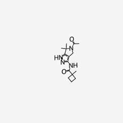 CC(=O)N1Cc2c(NC(=O)C3(C)CCC3)n[nH]c2C1(C)C